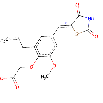 C=CCc1cc(/C=C2\SC(=O)NC2=O)cc(OC)c1OCC(=O)O